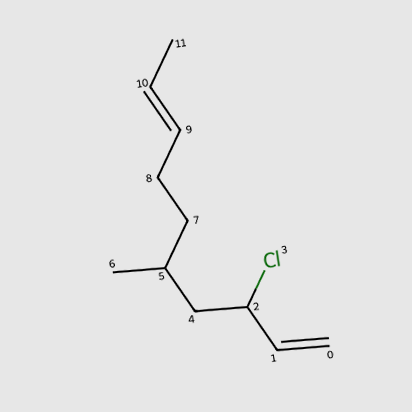 C=CC(Cl)CC(C)CCC=CC